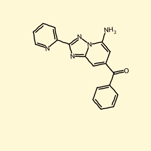 Nc1cc(C(=O)c2ccccc2)cc2nc(-c3ccccn3)nn12